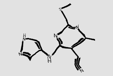 CSc1nc(C)c(C#N)c(Nc2cn[nH]c2)n1